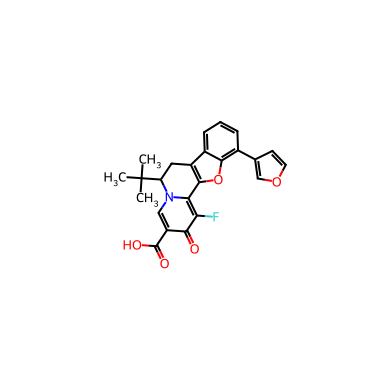 CC(C)(C)C1Cc2c(oc3c(-c4ccoc4)cccc23)-c2c(F)c(=O)c(C(=O)O)cn21